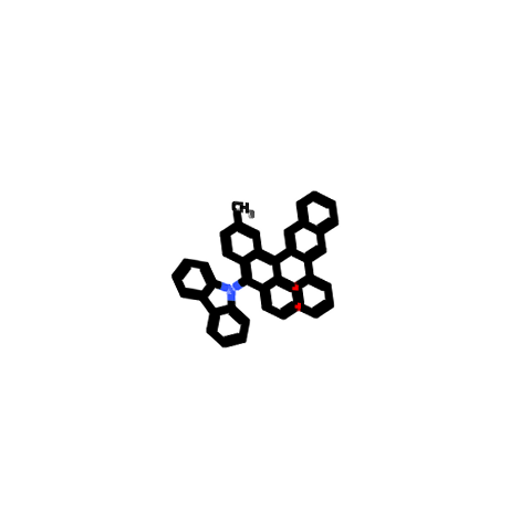 Cc1ccc2c(-n3c4ccccc4c4ccccc43)c3ccccc3c(-c3cc4ccccc4cc3-c3ccccc3)c2c1